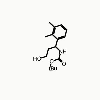 Cc1cccc(C(CCO)NC(=O)OC(C)(C)C)c1C